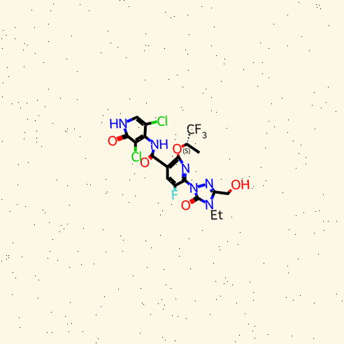 CCn1c(CO)nn(-c2nc(O[C@@H](C)C(F)(F)F)c(C(=O)Nc3c(Cl)c[nH]c(=O)c3Cl)cc2F)c1=O